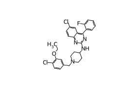 CCOc1cc(CN2CCC(Nc3nc(-c4ccccc4F)c4cc(Cl)ccc4n3)CC2)ccc1Cl